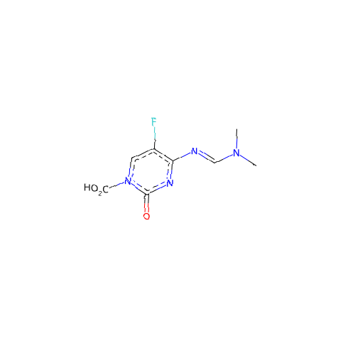 CN(C)/C=N/c1nc(=O)n(C(=O)O)cc1F